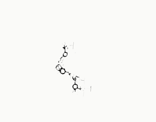 NC(=O)c1cccc(COC[C@@H]2COc3ccc(CCNC[C@@H](O)c4ccc(O)c(CO)c4)cc3O2)c1